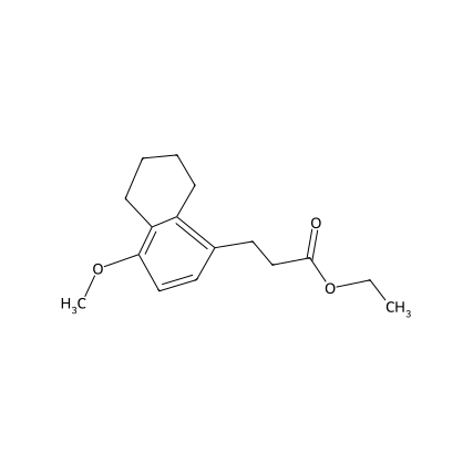 CCOC(=O)CCc1ccc(OC)c2c1CCCC2